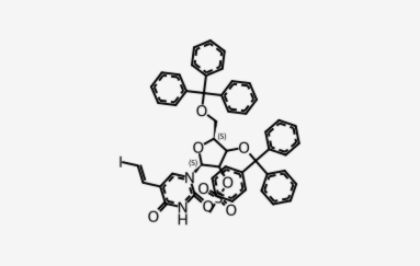 CS(=O)(=O)OC1C(OC(c2ccccc2)(c2ccccc2)c2ccccc2)[C@H](COC(c2ccccc2)(c2ccccc2)c2ccccc2)O[C@@H]1n1cc(C=CI)c(=O)[nH]c1=O